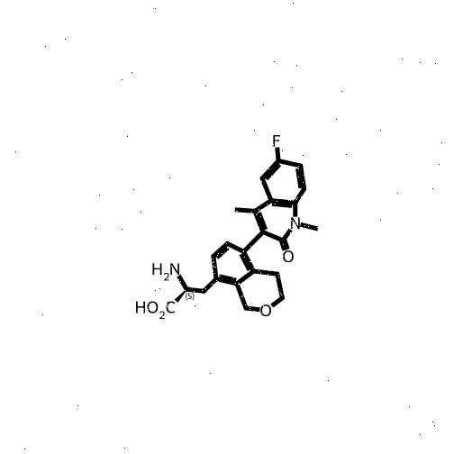 Cc1c(-c2ccc(C[C@H](N)C(=O)O)c3c2CCOC3)c(=O)n(C)c2ccc(F)cc12